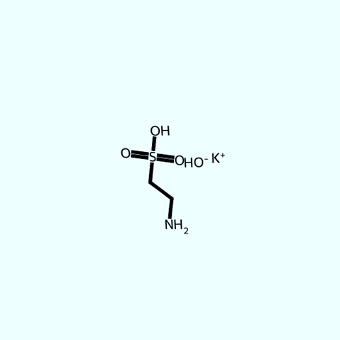 NCCS(=O)(=O)O.[K+].[OH-]